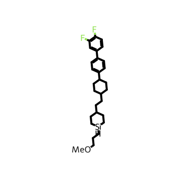 COCCC[SiH]1CCC(CCC2CCC(c3ccc(-c4ccc(F)c(F)c4)cc3)CC2)CC1